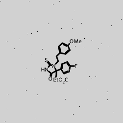 CCOC(=O)CC1(c2ccc(F)cc2)C(=O)NC(=S)N1CCc1ccc(OC)cc1